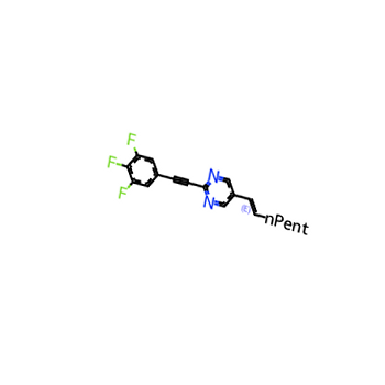 CCCCC/C=C/c1cnc(C#Cc2cc(F)c(F)c(F)c2)nc1